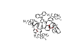 CC(C)(C)c1ccc2c(c1)B1c3ccc(C(C)(C)c4ccccc4)cc3N(c3ccc(C(C)(C)C)cc3-c3ccccc3)c3cc(-n4c5ccccc5c5ccccc54)cc(c31)N2c1ccc(C(C)(C)C)cc1-c1ccccc1